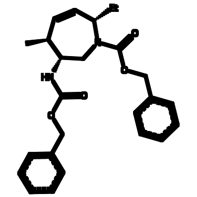 CC[C@H]1C=C[C@H](C)[C@@H](NC(=O)OCc2ccccc2)CN1C(=O)OCc1ccccc1